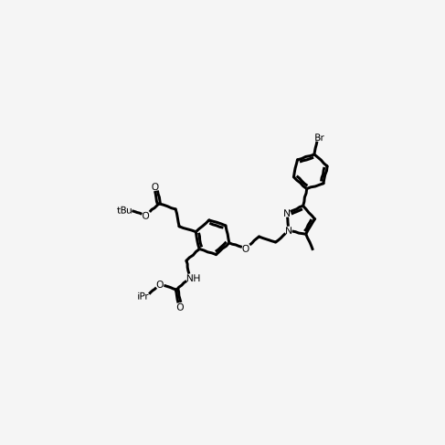 Cc1cc(-c2ccc(Br)cc2)nn1CCOc1ccc(CCC(=O)OC(C)(C)C)c(CNC(=O)OC(C)C)c1